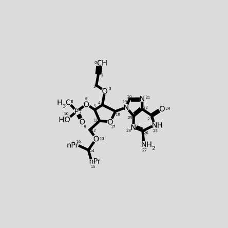 C#CCOC1C(OP(C)(=O)O)C(COC(CCC)CCC)OC1n1cnc2c(=O)[nH]c(N)nc21